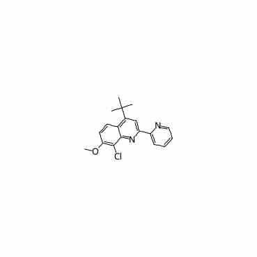 COc1ccc2c(C(C)(C)C)cc(-c3ccccn3)nc2c1Cl